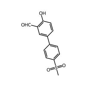 CS(=O)(=O)c1ccc(-c2ccc(O)c(C=O)c2)cc1